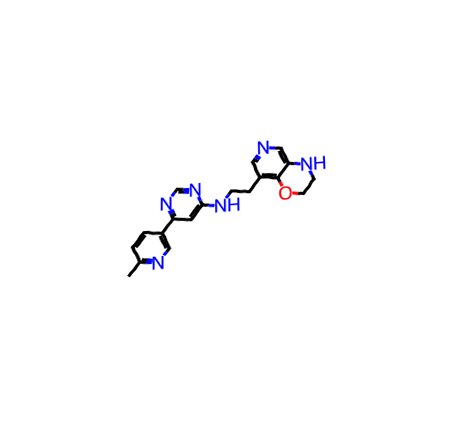 Cc1ccc(-c2cc(NCCc3cncc4c3OCCN4)ncn2)cn1